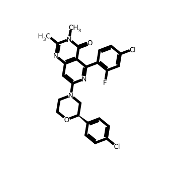 Cc1nc2cc(N3CCO[C@H](c4ccc(Cl)cc4)C3)nc(-c3ccc(Cl)cc3F)c2c(=O)n1C